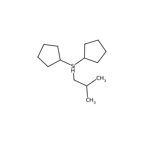 CC(C)C[SiH](C1CCCC1)C1CCCC1